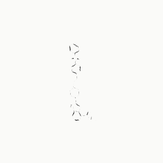 NC(=O)c1cccc2[nH]c(C3CCN(CCc4ccc(S(=O)(=O)c5ccccc5)cc4)CC3)nc12